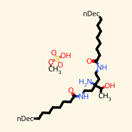 CCCCCCCCCCCCCCCCCC(=O)NCCC(N)(CCNC(=O)CCCCCCCCCCCCCCCCC)C(C)O.COS(=O)(=O)O